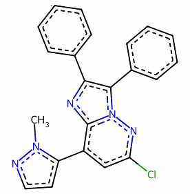 Cn1nccc1-c1cc(Cl)nn2c(-c3ccccc3)c(-c3cc[c]cc3)nc12